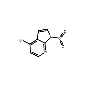 O=[SH](=O)n1ccc2c(Br)ccnc21